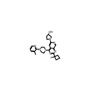 Cc1cccnc1N1CCN(c2nc(C3(F)CCC3)nc3cnc(N4CC[C@@H](O)C4)cc23)CC1